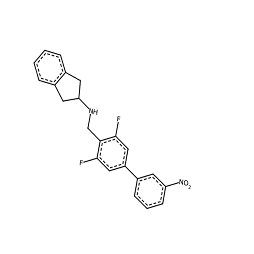 O=[N+]([O-])c1cccc(-c2cc(F)c(CNC3Cc4ccccc4C3)c(F)c2)c1